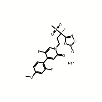 COc1ccc(-c2cc(=O)n(CC[C@](C)(C3=NOB([O-])O3)S(C)(=O)=O)cc2F)c(F)c1.[Na+]